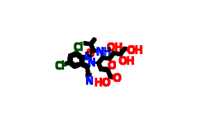 CC(C)C(=O)N[C@H]1[C@H]([C@H](O)[C@H](O)CO)OC(C(=O)O)=C[C@@H]1n1nc2c(Cl)cc(Cl)cc2c1C#N